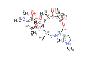 CO[C@]1(C)C[C@@H](C)CN(C)[C@H]([C@H]2CCN(C)C2)COC(=O)C(C)(C)C(=O)[C@H](C)[C@H]1O[C@@H]1O[C@H](C)C[C@H](N(C)C)[C@H]1O